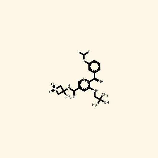 CC(C)(O)CNc1cc(C(=O)NC2(C)CS(=O)(=O)C2)cnc1C(=N)c1cccc(OC(F)F)c1